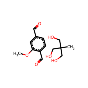 CC(CO)(CO)CO.COc1cc(C=O)ccc1C=O